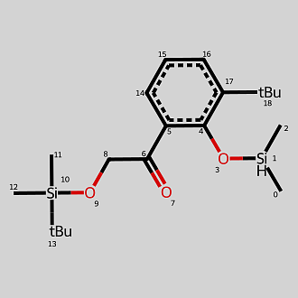 C[SiH](C)Oc1c(C(=O)CO[Si](C)(C)C(C)(C)C)cccc1C(C)(C)C